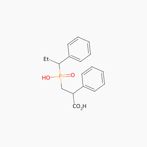 CCC(c1ccccc1)P(=O)(O)CC(C(=O)O)c1ccccc1